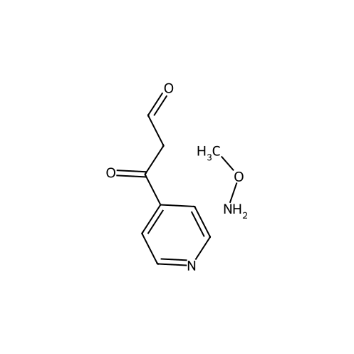 CON.O=CCC(=O)c1ccncc1